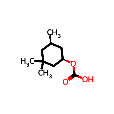 C[C@H]1C[C@@H](OC(=O)O)CC(C)(C)C1